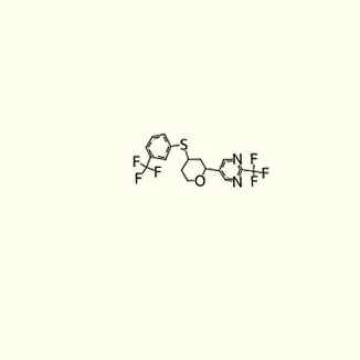 FC(F)(F)c1cccc(SC2CCOC(c3cnc(C(F)(F)F)nc3)C2)c1